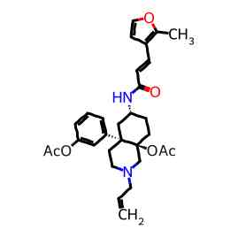 C=CCN1CC[C@@]2(c3cccc(OC(C)=O)c3)C[C@H](NC(=O)C=Cc3ccoc3C)CC[C@]2(OC(C)=O)C1